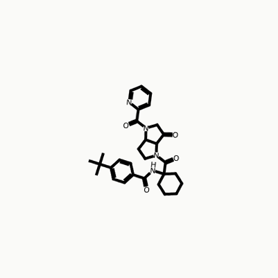 CC(C)(C)c1ccc(C(=O)NC2(C(=O)N3CCC4C3C(=O)CN4C(=O)c3ccccn3)CCCCC2)cc1